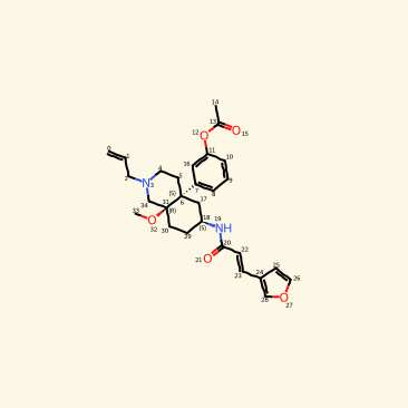 C=CCN1CC[C@@]2(c3cccc(OC(C)=O)c3)C[C@@H](NC(=O)C=Cc3ccoc3)CC[C@]2(OC)C1